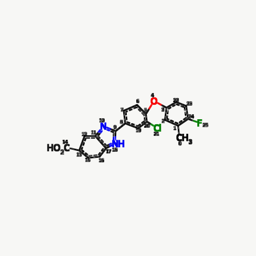 Cc1cc(Oc2ccc(-c3nc4cc(C(=O)O)ccc4[nH]3)cc2Cl)ccc1F